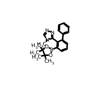 Cn1cnnc1-c1c(B2OC(C)(C)C(C)(C)O2)cccc1-c1ccccc1